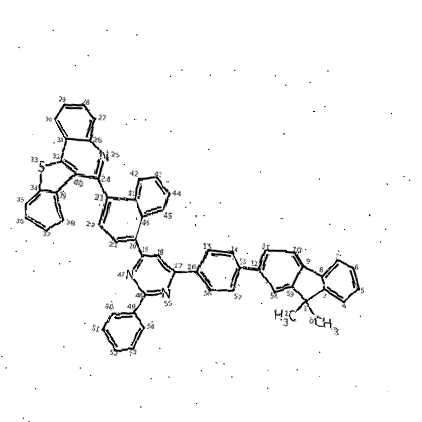 CC1(C)c2ccccc2-c2ccc(-c3ccc(-c4cc(-c5ccc(-c6nc7ccccc7c7sc8ccccc8c67)c6ccccc56)nc(-c5ccccc5)n4)cc3)cc21